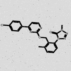 Cc1cccc(-n2nnn(C)c2=O)c1COc1nccc(-c2ccc(Cl)cc2)n1